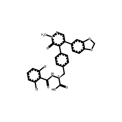 Cn1ncc(-c2ccc3c(c2)OCO3)c(-c2ccc(C[C@H](NC(=O)c3c(Cl)cccc3Cl)C(=O)O)cc2)c1=O